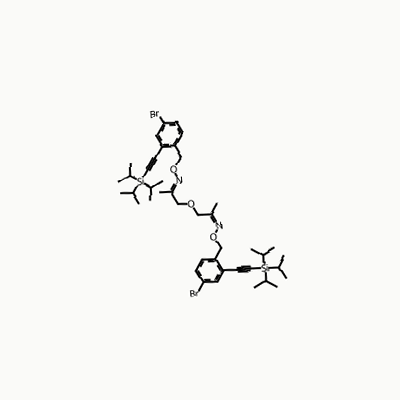 CC(COCC(C)=NOCc1ccc(Br)cc1C#C[Si](C(C)C)(C(C)C)C(C)C)=NOCc1ccc(Br)cc1C#C[Si](C(C)C)(C(C)C)C(C)C